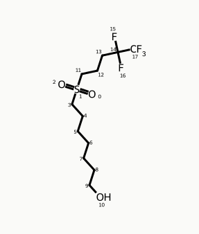 O=S(=O)(CCCCCCCO)CCCC(F)(F)C(F)(F)F